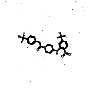 CC(C)(C)c1ccc([N+](=O)[O-])c(NC2CCN(C(=O)Cc3ccc(C(F)(F)F)cc3)CC2)c1